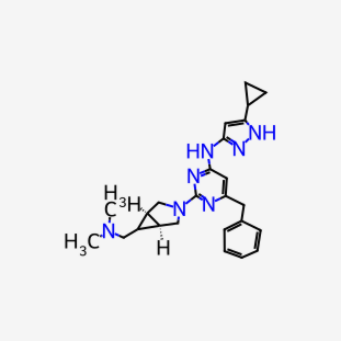 CN(C)CC1[C@H]2CN(c3nc(Cc4ccccc4)cc(Nc4cc(C5CC5)[nH]n4)n3)C[C@@H]12